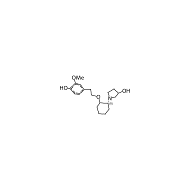 COc1cc(CCOC2CCCC[C@H]2N2CCC(O)C2)ccc1O